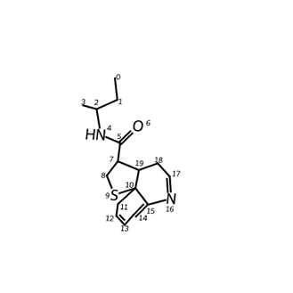 CCC(C)NC(=O)C1CSC23CC=CC=C2N=CCC13